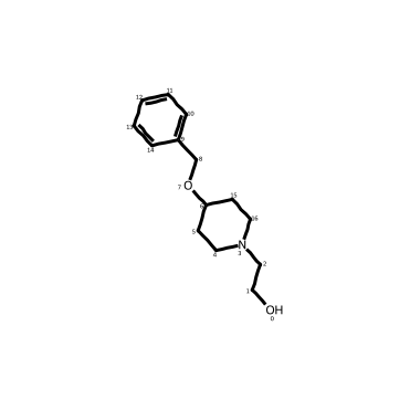 OCCN1CCC(OCc2ccccc2)CC1